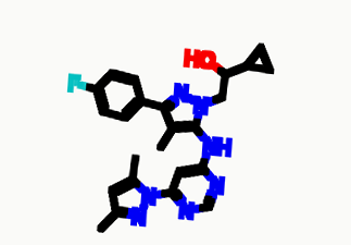 Cc1cc(C)n(-c2cc(Nc3c(C)c(-c4ccc(F)cc4)nn3CC(O)C3CC3)ncn2)n1